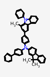 Cc1cc(-c2ccc(N(c3ccc(-c4ccccc4)cc3)c3ccc4c(c3)C(C)(C)c3ccccc3-4)cc2)cc2c3ccccc3n(-c3ccccc3)c12